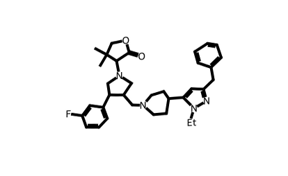 CCn1nc(Cc2ccccc2)cc1C1CCN(CC2CN(C3C(=O)OCC3(C)C)CC2c2cccc(F)c2)CC1